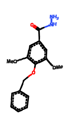 COc1cc(C(=O)NN)cc(OC)c1OCc1ccccc1